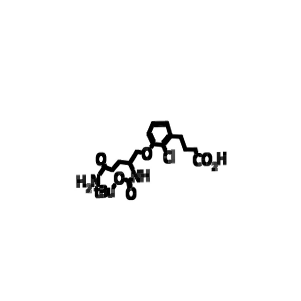 CC(C)(C)OC(=O)NC(CCC(N)=O)COc1cccc(CCCC(=O)O)c1Cl